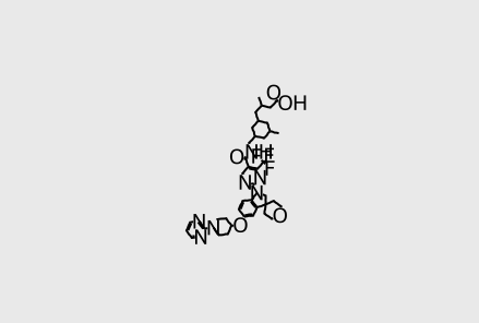 CC(CC(=O)O)CC1CC(C)CC(CNC(=O)c2cnc(N3CC4(CCOCC4)c4cc(OC5CCN(c6ncccn6)CC5)ccc43)nc2C(F)(F)F)C1